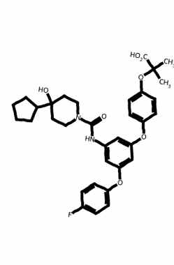 CC(C)(Oc1ccc(Oc2cc(NC(=O)N3CCC(O)(C4CCCC4)CC3)cc(Oc3ccc(F)cc3)c2)cc1)C(=O)O